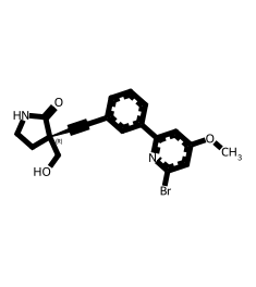 COc1cc(Br)nc(-c2cccc(C#C[C@@]3(CO)CCNC3=O)c2)c1